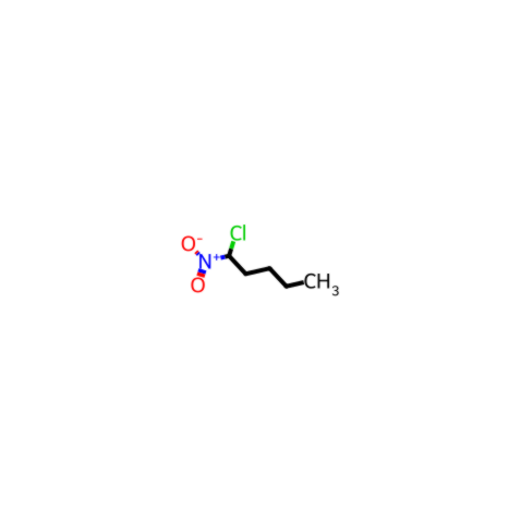 CCCCC(Cl)[N+](=O)[O-]